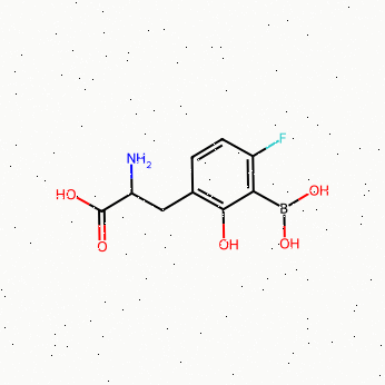 NC(Cc1ccc(F)c(B(O)O)c1O)C(=O)O